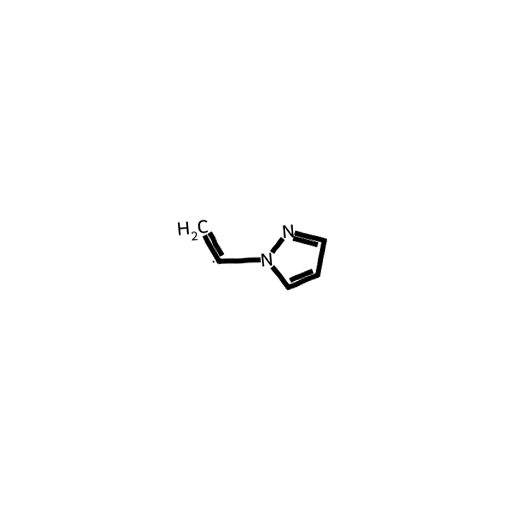 C=[C]n1cccn1